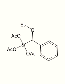 CCOC(c1ccccc1)[Si](OC(C)=O)(OC(C)=O)OC(C)=O